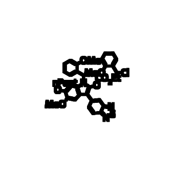 CCCCCOc1cc2c(cc1OC)c(-c1ccc3nsnc3c1)c(OC(=O)OCC)n2Cc1ccccc1OC.COc1ccccc1CCl